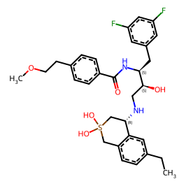 CCc1ccc2c(c1)[C@@H](NC[C@H](O)[C@H](Cc1cc(F)cc(F)c1)NC(=O)c1ccc(CCOC)cc1)CS(O)(O)C2